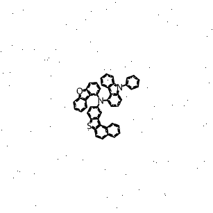 c1ccc(-n2c3ccccc3c3c(N(c4ccc5sc6ccc7ccccc7c6c5c4)c4cccc5oc6ccccc6c45)cccc32)cc1